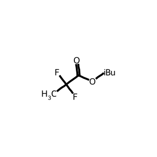 CCC(C)OC(=O)C(C)(F)F